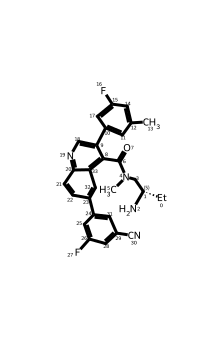 CC[C@H](N)CN(C)C(=O)c1c(-c2cc(C)cc(F)c2)cnc2ccc(-c3cc(F)cc(C#N)c3)cc12